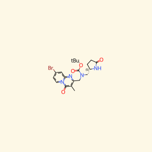 Cc1c(CN(C[C@@H]2CCC(=O)N2)C(=O)OC(C)(C)C)nc2cc(Br)ccn2c1=O